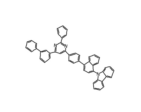 c1ccc(-c2cccc(-c3cc(-c4ccc(-c5ccc(-n6c7ccccc7c7ccccc76)c6ccccc56)cc4)nc(-c4ccccc4)n3)c2)cc1